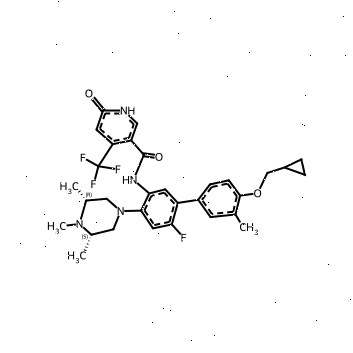 Cc1cc(-c2cc(NC(=O)c3c[nH]c(=O)cc3C(F)(F)F)c(N3C[C@@H](C)N(C)[C@@H](C)C3)cc2F)ccc1OCC1CC1